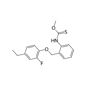 CCc1ccc(OCc2ccccc2NC(=S)OC)c(F)c1